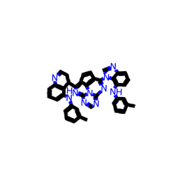 Cc1cccc(Nc2cccc3c2C(c2nc4ncnc5nc(-n6cnc7cccc(Nc8cccc(C)c8)c76)c6ccc2c6n45)CC=N3)c1